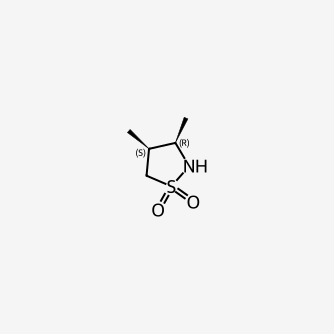 C[C@@H]1CS(=O)(=O)N[C@@H]1C